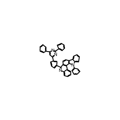 c1ccc(-c2cc(-c3cccc(-c4nc5ccccc5c5c4ccc4c6ccccc6n(-c6ccccc6)c45)c3)nc(-c3ccccc3)n2)cc1